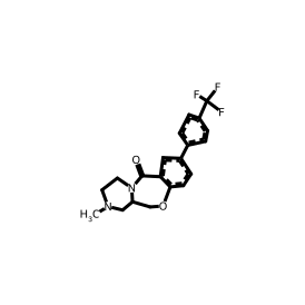 CN1CCN2C(=O)c3cc(-c4ccc(C(F)(F)F)cc4)ccc3OCC2C1